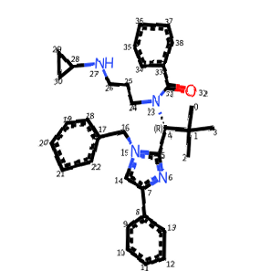 CC(C)(C)[C@H](c1nc(-c2ccccc2)cn1Cc1ccccc1)N(CCCNC1CC1)C(=O)c1ccccc1